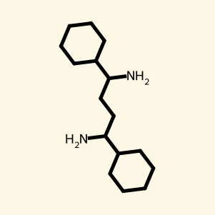 NC(CCC(N)C1CCCCC1)C1CCCCC1